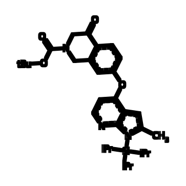 Cc1cc2c(Oc3ccc4c(c3)CN(C(=O)OC(C)(C)C)CC4=O)ccnc2n1[Si](C(C)C)(C(C)C)C(C)C